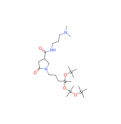 CN(C)CCCNC(=O)C1CC(=O)N(CCC[Si](C)(O[Si](C)(C)C)O[Si](C)(C)O[Si](C)(C)C)C1